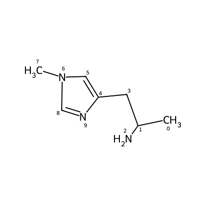 CC(N)Cc1cn(C)cn1